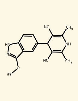 CC1=C(C#N)C(c2ccc3[nH]nc(OC(C)C)c3c2)C(C#N)=C(C)N1